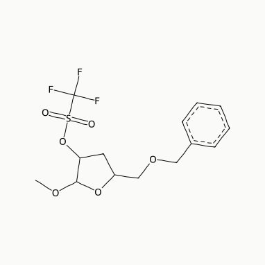 COC1OC(COCc2ccccc2)CC1OS(=O)(=O)C(F)(F)F